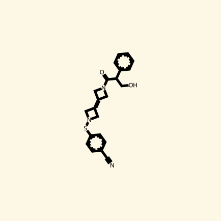 N#Cc1ccc(SN2CC(=C3CN(C(=O)C(CO)c4ccccc4)C3)C2)cc1